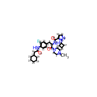 CN1CCN(C(=O)C(Cc2ccc(NC(=O)CC3CCCCC3)c(F)c2)NC(=O)c2ccnn2C2CCC2)CC1